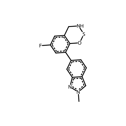 Cn1cc2ccc(-c3cc(F)cc4c3OSNC4)cc2n1